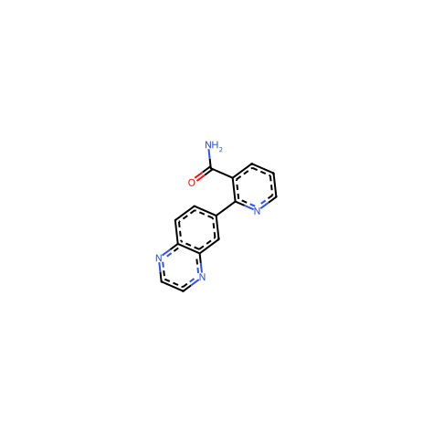 NC(=O)c1cccnc1-c1ccc2nccnc2c1